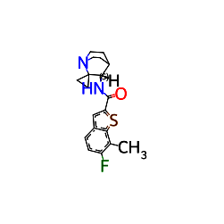 Cc1c(F)ccc2cc(C(=O)N[C@H]3C4CCN(CC4)C34CC4)sc12